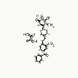 Cn1c(N2CCN(CCc3ccc(C(=O)c4ccccc4)cc3[N+](=O)[O-])CC2)cc(=O)n(C)c1=O.O=C(O)C(=O)O